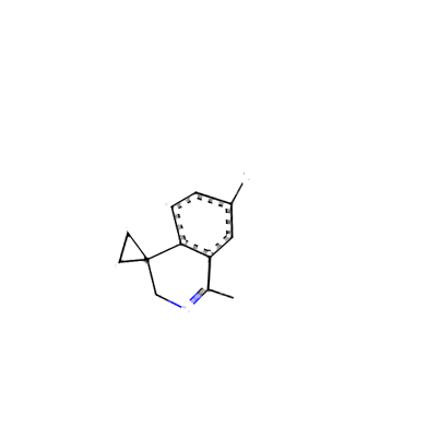 O=CC1=NCC2(CC2)c2ccc([N+](=O)[O-])cc21